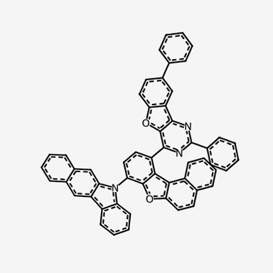 c1ccc(-c2ccc3oc4c(-c5ccc(-n6c7ccccc7c7cc8ccccc8cc76)c6oc7ccc8ccccc8c7c56)nc(-c5ccccc5)nc4c3c2)cc1